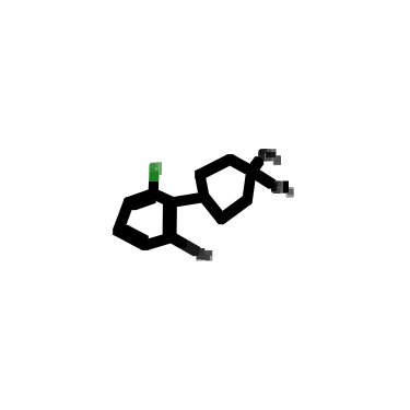 CC(=O)c1cccc(Cl)c1C1CCC(C)(C)CC1